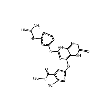 CC(C)(C)OC(=O)c1cc(OC2=C3NC(=O)CN=C3NC(Oc3cccc(NC(=N)N)c3)=N2)ccc1C#N